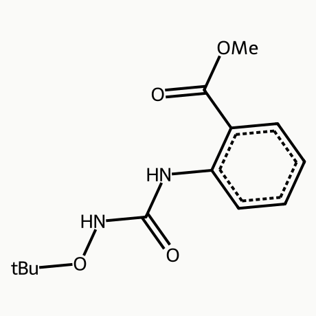 COC(=O)c1ccccc1NC(=O)NOC(C)(C)C